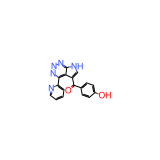 O=C(c1ccc(O)cc1)c1c[nH]c2nnnc(-c3ccccn3)c12